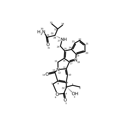 CC[C@@]1(O)C(=O)OCc2c1cc1n(c2=O)Cc2c-1nc1ccccc1c2CN[C@H](C(N)=O)C(C)C